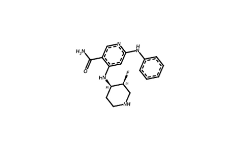 NC(=O)c1cnc(Nc2ccccc2)cc1N[C@@H]1CCNC[C@@H]1F